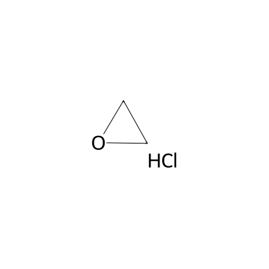 C1CO1.Cl